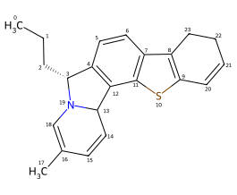 CCC[C@@H]1c2ccc3c4c(sc3c2C2C=CC(C)=CN21)C=CCC4